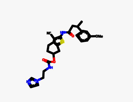 COc1cccc(C(C)CC(=O)Nc2sc3c(c2C#N)CCC(OC(=O)NCCn2ccnc2)C3)c1